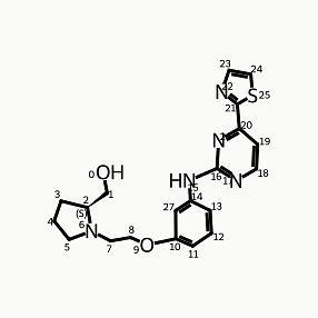 OC[C@@H]1CCCN1CCOc1cccc(Nc2nccc(-c3nccs3)n2)c1